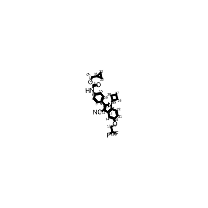 C[C@@H](OC(=O)Nc1ccc(-c2c(C#N)c3cc(OCC(F)F)ccc3n2C2CCC2)cc1)C1CC1